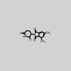 CC1=CC(C)C2C(=O)N(C3CCC(=O)NC3=O)C(=O)C2=C1